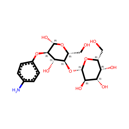 Nc1ccc(O[C@@H]2[C@@H](O)[C@H](O[C@@H]3O[C@H](CO)[C@H](O)[C@H](O)[C@H]3O)[C@@H](CO)O[C@H]2O)cc1